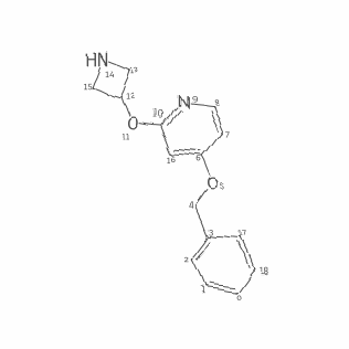 c1ccc(COc2ccnc(OC3CNC3)c2)cc1